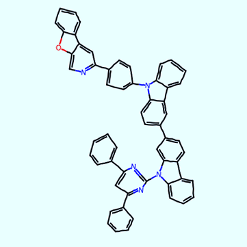 c1ccc(-c2cc(-c3ccccc3)nc(-n3c4ccccc4c4ccc(-c5ccc6c(c5)c5ccccc5n6-c5ccc(-c6cc7c(cn6)oc6ccccc67)cc5)cc43)n2)cc1